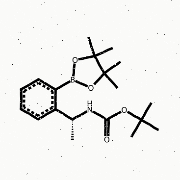 C[C@@H](NC(=O)OC(C)(C)C)c1ccccc1B1OC(C)(C)C(C)(C)O1